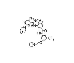 Cc1ccc(C(=O)Nc2cc(OCCN3CCCC3)cc(C(F)(F)F)c2)cc1Nc1ncnc2cnc(N3CCOCC3)nc12